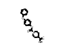 O=C(O)C1CCN(C(=O)Oc2ccc(Oc3ccccc3)cc2)CC1